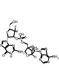 Nc1nc2c(ncn2[C@@H]2S[C@H](CO)C(F)(F)[C@H]2OP(O)(=S)OC[C@@]23CO[C@@H]([C@H](n4cnc5c(N)ncnc54)O2)[C@@H]3O)c(=O)[nH]1